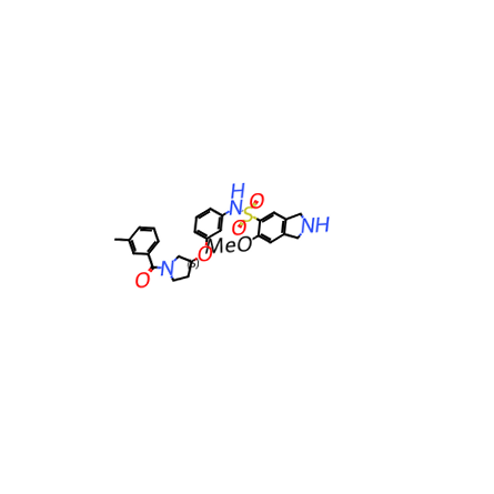 COc1cc2c(cc1S(=O)(=O)Nc1cccc(O[C@H]3CCN(C(=O)c4cccc(C)c4)C3)c1)CNC2